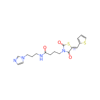 O=C(CCCN1C(=O)S/C(=C\c2cccs2)C1=O)NCCCn1ccnc1